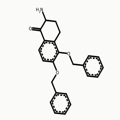 NC1CCc2c(ccc(OCc3ccccc3)c2OCc2ccccc2)C1=O